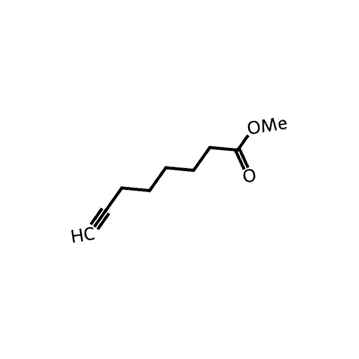 C#CCCCCCC(=O)OC